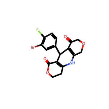 O=C1COCC2=C1C(c1ccc(F)c(Br)c1)C1=C(CCOC1=O)N2